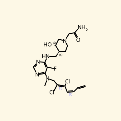 C=C/C=C\C(Cl)=C(/Cl)CN(C)c1ncnc(NC[C@@H]2CCN(CC(N)=O)C[C@H]2O)c1F